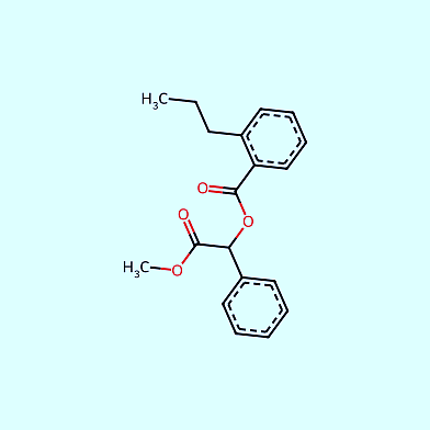 CCCc1ccccc1C(=O)OC(C(=O)OC)c1ccccc1